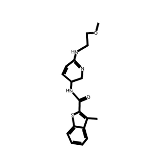 COCCNC1=NCC(NC(=O)c2sc3ccccc3c2C)C=C1